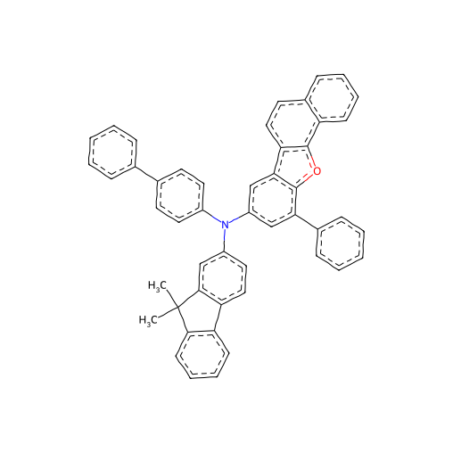 CC1(C)c2ccccc2-c2ccc(N(c3ccc(-c4ccccc4)cc3)c3cc(-c4ccccc4)c4oc5c6ccccc6ccc5c4c3)cc21